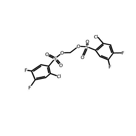 O=S(=O)(OCOS(=O)(=O)c1cc(F)c(F)cc1Cl)c1cc(F)c(F)cc1Cl